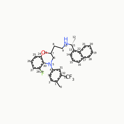 Cc1ccc(N2CC(CCN[C@H](C)c3cccc4ccccc34)Oc3cccc(F)c32)cc1C(F)(F)F